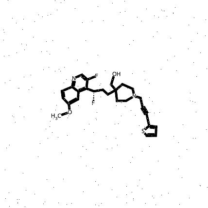 COc1ccc2ncc(F)c([C@@H](F)CCC3(CO)CCN(CC#Cc4cccs4)CC3)c2c1